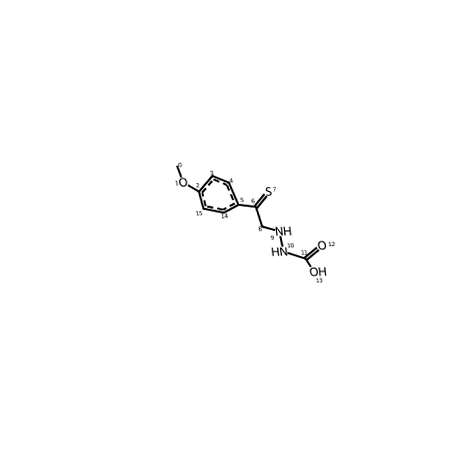 COc1ccc(C(=S)CNNC(=O)O)cc1